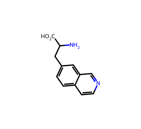 NC(Cc1ccc2ccncc2c1)C(=O)O